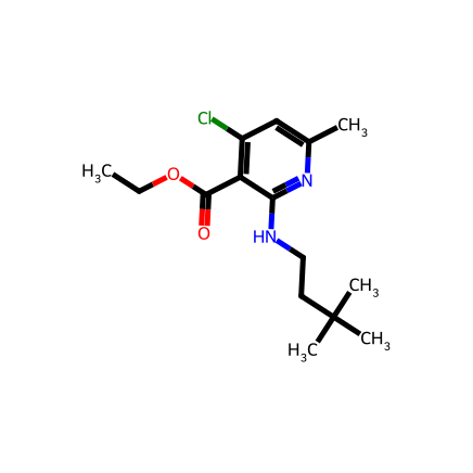 CCOC(=O)c1c(Cl)cc(C)nc1NCCC(C)(C)C